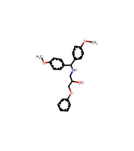 COc1ccc(C(NCC(O)COc2ccccc2)c2ccc(OC)cc2)cc1